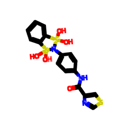 O=C(Nc1ccc(N2S(O)(O)c3ccccc3S2(O)O)cc1)c1cscn1